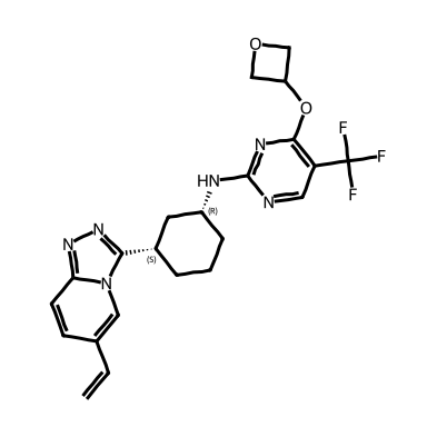 C=Cc1ccc2nnc([C@H]3CCC[C@@H](Nc4ncc(C(F)(F)F)c(OC5COC5)n4)C3)n2c1